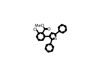 COC(=O)c1c(Cl)cccc1-c1cc(-c2ccccc2)sc1-c1ccccc1